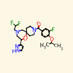 CC(C)Oc1ccc(C(=O)N2CCC3(CC2)CN(CC(F)F)CC(c2cc[nH]n2)O3)cc1F